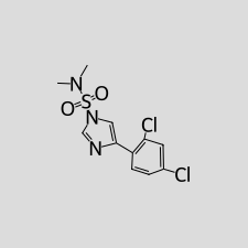 CN(C)S(=O)(=O)n1cnc(-c2ccc(Cl)cc2Cl)c1